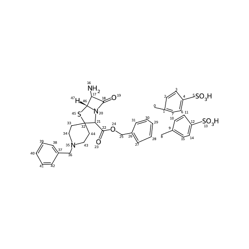 Cc1ccc(S(=O)(=O)O)cc1.Cc1ccc(S(=O)(=O)O)cc1.NC1C(=O)N2C(C(=O)OCc3ccccc3)C3(CCN(Cc4ccccc4)CC3)S[C@H]12